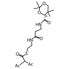 CC(=O)C(C(C)=O)C(=O)SCCNC(=O)CCNC(=O)[C@@H]1OC(C)(C)OCC1(C)C